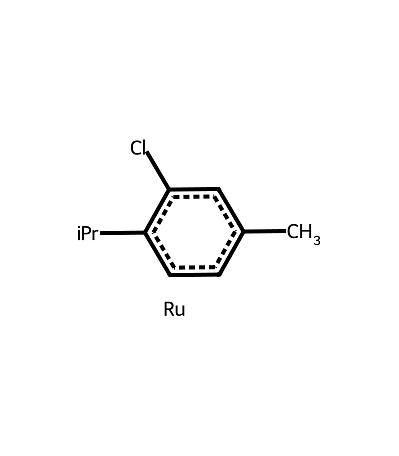 Cc1ccc(C(C)C)c(Cl)c1.[Ru]